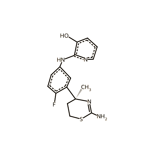 C[C@@]1(c2cc(Nc3ncccc3O)ccc2F)CCSC(N)=N1